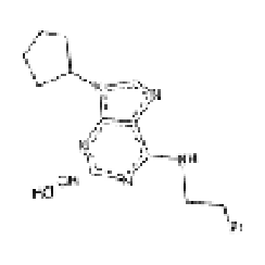 CC(C)CCNc1ncnc2c1ncn2C1CCCC1.Cl.Cl